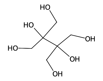 OCC(O)(CO)C(O)(CO)CO